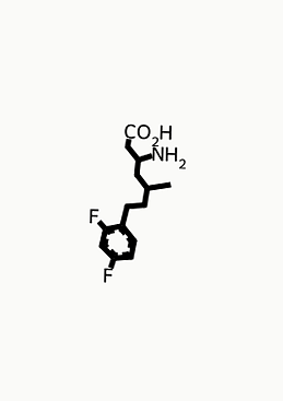 CC(CCc1ccc(F)cc1F)CC(N)CC(=O)O